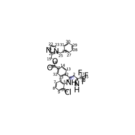 N=C(/C=C(\Nc1ccccc1Cl)c1ccc(C(=O)OCc2nccn2Cc2ccccc2)cc1)C(F)(F)F